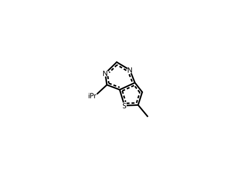 Cc1cc2ncnc(C(C)C)c2s1